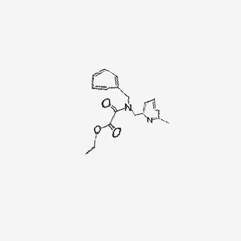 CCOC(=O)C(=O)N(Cc1ccccc1)Cc1cccc(C)n1